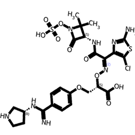 CC1(C)[C@H](NC(=O)/C(=N\O[C@@H](COc2ccc(C(=N)N[C@@H]3CCNC3)cc2)C(=O)O)c2nc(N)sc2Cl)C(=O)N1OS(=O)(=O)O